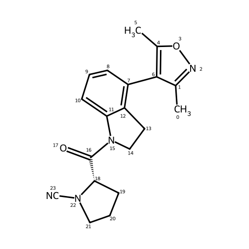 Cc1noc(C)c1-c1cccc2c1CCN2C(=O)[C@@H]1CCCN1C#N